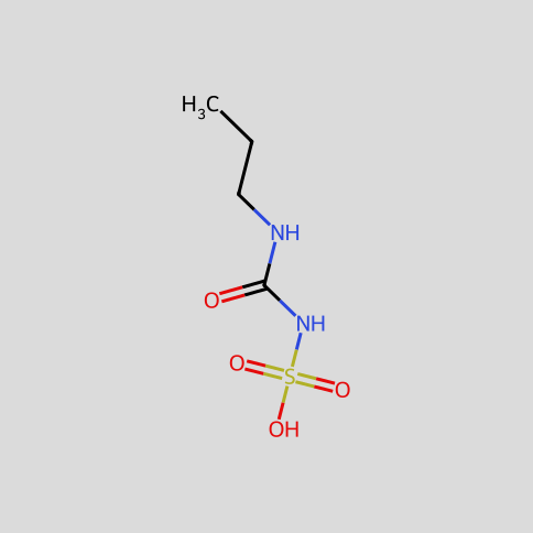 CCCNC(=O)NS(=O)(=O)O